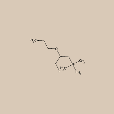 CCCOC(CF)C[N+](C)(C)C